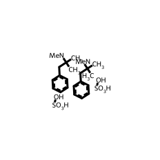 CNC(C)(C)Cc1ccccc1.CNC(C)(C)Cc1ccccc1.O=S(=O)(O)O.O=S(=O)(O)O